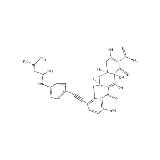 CN(C)CC(O)Nc1ccc(C#Cc2ccc(O)c3c2C[C@H]2C[C@H]4CC(O)=C(C(N)=O)C(=O)[C@@]4(O)C(O)=C2C3=O)cc1